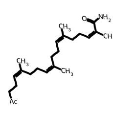 CC(=O)CCC=C(C)CCC=C(C)CCC=C(C)CCC=C(C)C(N)=O